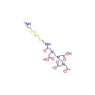 CNCCSSCSSCCNC(=O)CN(CCN(CCN(CC(C)=O)CC(=O)OC)CC(=O)O)CC(=O)O